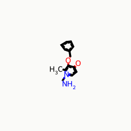 Cc1c(OCc2ccccc2)c(=O)ccn1CN